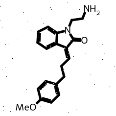 COc1ccc(CC/C=C2/C(=O)N(CCN)c3ccccc32)cc1